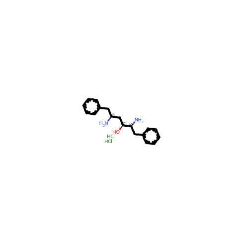 Cl.Cl.N[C@@H](Cc1ccccc1)C[C@H](O)[C@@H](N)Cc1ccccc1